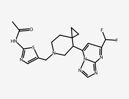 CC(=O)Nc1ncc(CN2CCC3(CC3)C(c3cc(C(F)F)nc4ncnn34)C2)s1